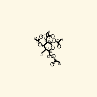 CC(=O)NC1C(OC(C)=O)OC(COC(C)=O)C(C)C1OC(C)=O